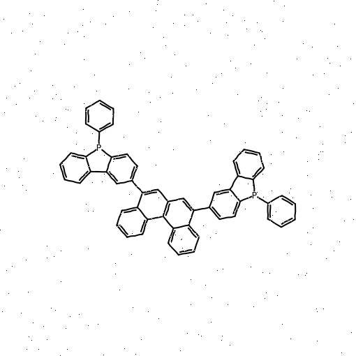 c1ccc(-p2c3ccccc3c3cc(-c4cc5cc(-c6ccc7c(c6)c6ccccc6p7-c6ccccc6)c6ccccc6c5c5ccccc45)ccc32)cc1